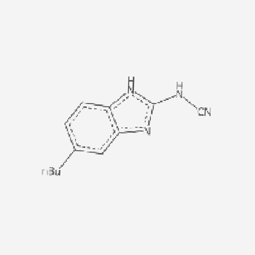 CCCCc1ccc2[nH]c(NC#N)nc2c1